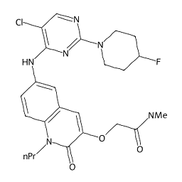 CCCn1c(=O)c(OCC(=O)NC)cc2cc(Nc3nc(N4CCC(F)CC4)ncc3Cl)ccc21